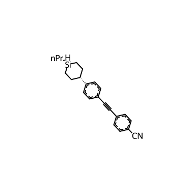 CCC[Si@H]1CC[C@H](c2ccc(C#Cc3ccc(C#N)cc3)cc2)CC1